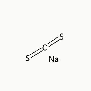 S=C=S.[Na]